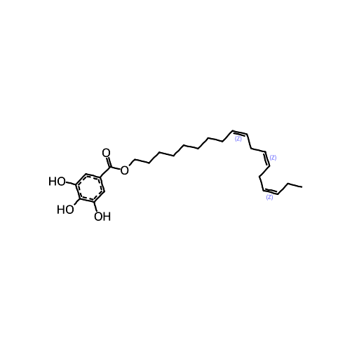 CC/C=C\C/C=C\C/C=C\CCCCCCCCOC(=O)c1cc(O)c(O)c(O)c1